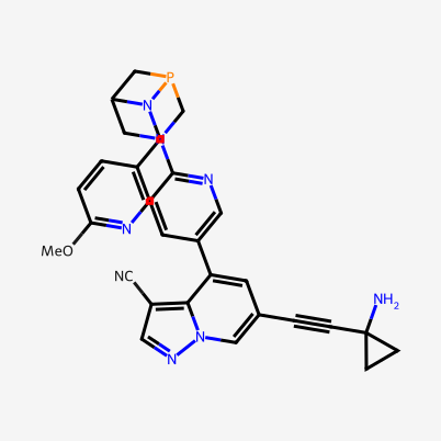 COc1ccc(CN2C3CN(c4ccc(-c5cc(C#CC6(N)CC6)cn6ncc(C#N)c56)cn4)CP2C3)cn1